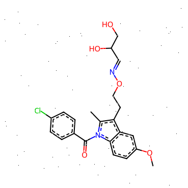 COc1ccc2c(c1)c(CCON=CC(O)CO)c(C)n2C(=O)c1ccc(Cl)cc1